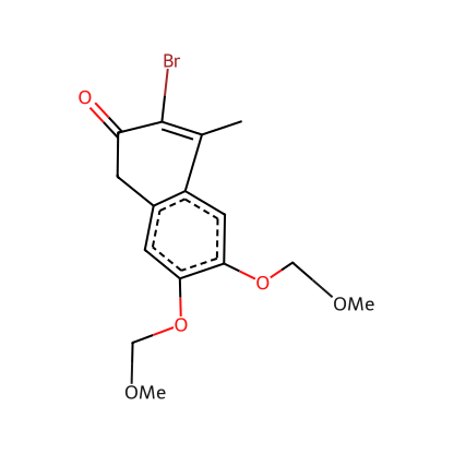 COCOc1cc2c(cc1OCOC)C(C)=C(Br)C(=O)C2